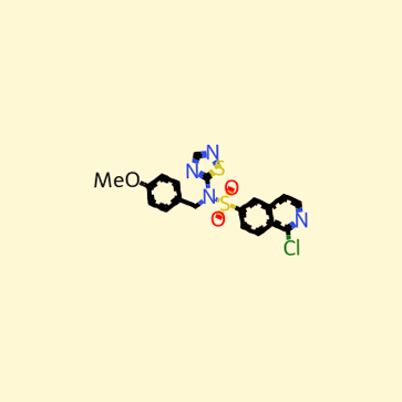 COc1ccc(CN(c2ncns2)S(=O)(=O)c2ccc3c(Cl)nccc3c2)cc1